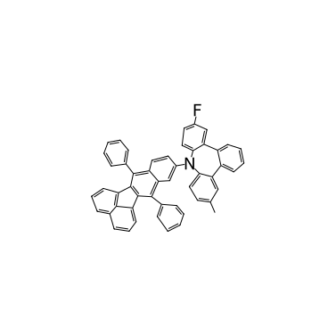 Cc1ccc2c(c1)-c1ccccc1-c1cc(F)ccc1N2c1ccc2c(-c3ccccc3)c3c(c(-c4ccccc4)c2c1)-c1cccc2cccc-3c12